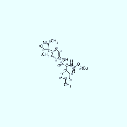 Cc1noc(C)c1-c1ccc(NC(=O)[C@@H](NC(=O)OC(C)(C)C)C2CCC(C)CC2)cc1